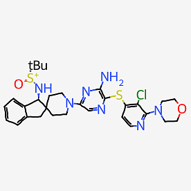 CC(C)(C)[S@@+]([O-])N[C@@H]1c2ccccc2CC12CCN(c1cnc(Sc3ccnc(N4CCOCC4)c3Cl)c(N)n1)CC2